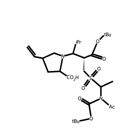 C=CC1CC(C(=O)O)N(C([C](C)C)[C@@H](CS(=O)(=O)C(C)N(C(C)=O)C(=O)OC(C)(C)C)C(=O)OC(C)(C)C)C1